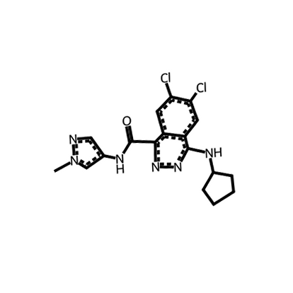 Cn1cc(NC(=O)c2nnc(NC3CCCC3)c3cc(Cl)c(Cl)cc23)cn1